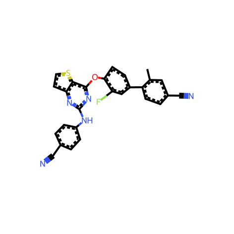 Cc1cc(C#N)ccc1-c1ccc(Oc2nc(Nc3ccc(C#N)cc3)nc3ccsc23)c(F)c1